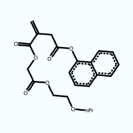 C=C(CC(=O)Oc1cccc2ccccc12)C(=O)OCC(=O)OCCOCCC